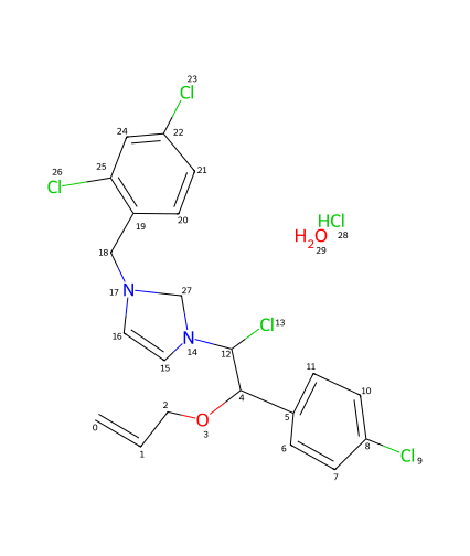 C=CCOC(c1ccc(Cl)cc1)C(Cl)N1C=CN(Cc2ccc(Cl)cc2Cl)C1.Cl.O